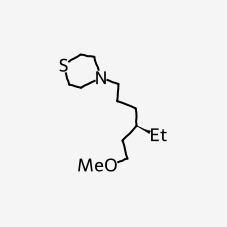 CC[C@H](CCCN1CCSCC1)CCOC